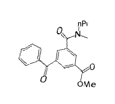 CCCN(C)C(=O)c1cc(C(=O)OC)cc(C(=O)c2ccccc2)c1